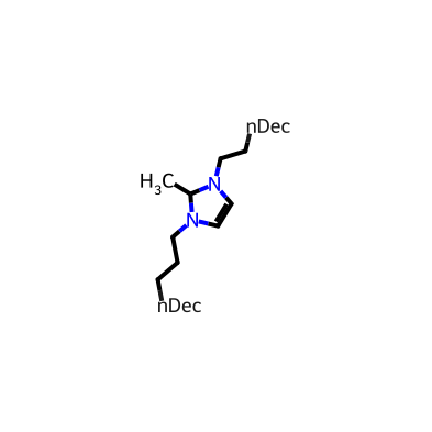 CCCCCCCCCCCCCN1C=CN(CCCCCCCCCCCC)C1C